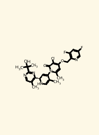 CC1=CN[C@@H](c2nc(C(C)(C)O)ncc2C)C=C1n1c(C)cc(OCc2ncc(F)cc2F)c(Cl)c1=O